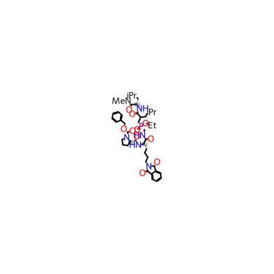 CCOP(=O)(CNC(=O)[C@H](CCCCN1C(=O)c2ccccc2C1=O)NC(=O)[C@@H]1CCCN1C(=O)OCc1ccccc1)CC(CC(C)C)C(=O)N[C@@H](CC(C)C)C(=O)NC